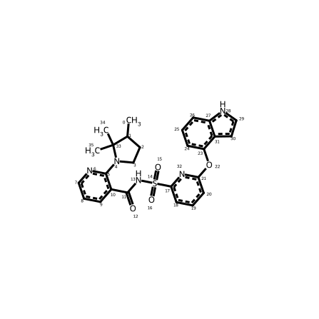 CC1CCN(c2ncccc2C(=O)NS(=O)(=O)c2cccc(Oc3cccc4[nH]ccc34)n2)C1(C)C